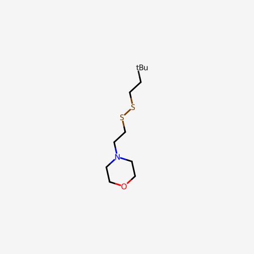 CC(C)(C)CCSSCCN1CCOCC1